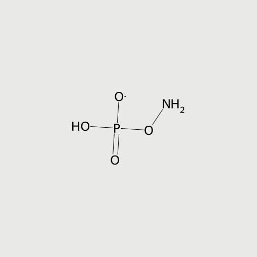 NOP([O])(=O)O